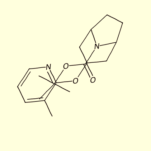 Cc1cccnc1OC1CC2CCC(C1)N2C(=O)OC(C)(C)C